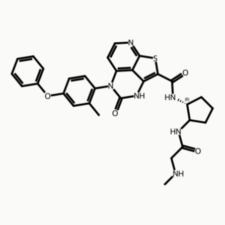 CNCC(=O)NC1CCC[C@H]1NC(=O)c1sc2nccc3c2c1NC(=O)N3c1ccc(Oc2ccccc2)cc1C